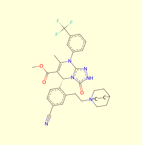 COC(=O)C1=C(C)N(c2cccc(C(F)(F)F)c2)c2n[nH]c(=O)n2[C@@H]1c1ccc(C#N)cc1CC[N+]12CCC(CC1)CC2